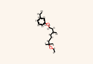 CCOC(C)(C)CCCC(C)CCOc1cccc(CC)c1